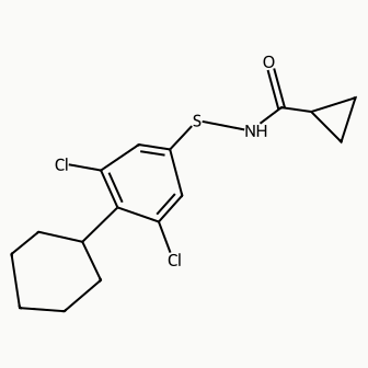 O=C(NSc1cc(Cl)c(C2CCCCC2)c(Cl)c1)C1CC1